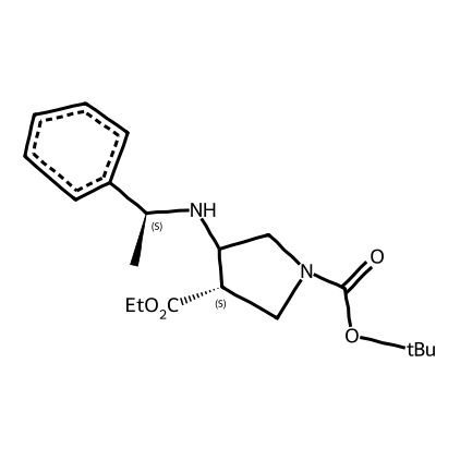 CCOC(=O)[C@H]1CN(C(=O)OC(C)(C)C)CC1N[C@@H](C)c1ccccc1